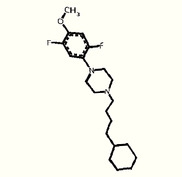 COc1cc(F)c(N2CCN(CCCCC3CCCCC3)CC2)cc1F